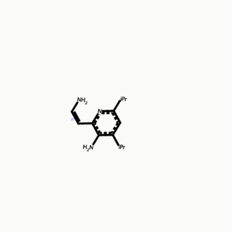 CC(C)c1cc(C(C)C)c(N)c(/C=C\N)n1